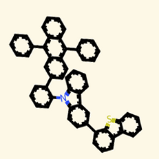 c1ccc(-c2c3ccccc3c(-c3ccccc3)c3cc(-c4ccccc4-n4c5ccccc5c5cc(-c6cccc7c6sc6ccccc67)ccc54)ccc23)cc1